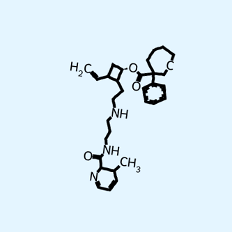 C=CC1C[C@H](OC(=O)C2(c3ccccc3)CCCCCC2)C1CCNCCCNC(=O)C1N=CC=CC1C